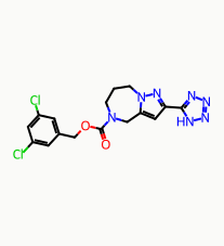 O=C(OCc1cc(Cl)cc(Cl)c1)N1CCCn2nc(-c3nnn[nH]3)cc2C1